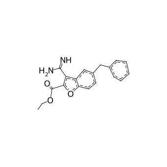 CCOC(=O)c1oc2ccc(Cc3ccccc3)cc2c1C(=N)N